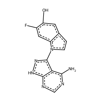 Nc1ncnc2[nH]nc(-n3ccc4cc(O)c(F)cc43)c12